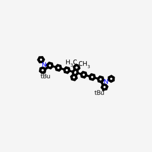 Cc1cc2c(-c3ccc(-c4ccc(-c5ccc6c(c5)c5cc(C(C)(C)C)ccc5n6-c5ccccc5)cc4)cc3)c3ccccc3c(-c3ccc(-c4ccc(-c5ccc6c(c5)c5cc(C(C)(C)C)ccc5n6-c5ccccc5)cc4)cc3)c2cc1C